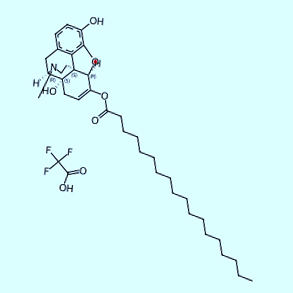 CCCCCCCCCCCCCCCCCC(=O)OC1=CC[C@@]2(O)[C@H]3Cc4ccc(O)c5c4[C@@]2(CCN3C)[C@H]1O5.O=C(O)C(F)(F)F